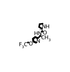 C[C@@H](NC(=O)[C@H]1CCCN1)c1ccc(OCC(F)(F)F)cn1